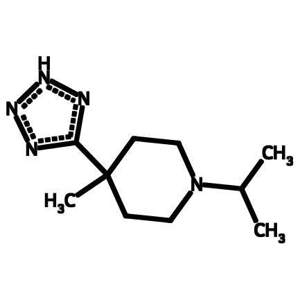 CC(C)N1CCC(C)(c2nn[nH]n2)CC1